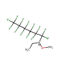 CC[SiH](O[SiH3])C(F)(F)C(F)(F)C(F)(F)C(F)(F)C(F)(F)C(F)(F)F